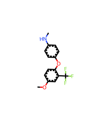 CNc1ccc(Oc2ccc(OC)cc2C(F)(F)F)cc1